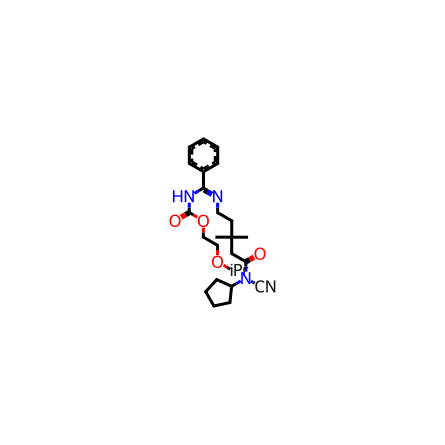 CC(C)OCCOC(=O)NC(=NCCC(C)(C)CC(=O)N(C#N)C1CCCC1)c1ccccc1